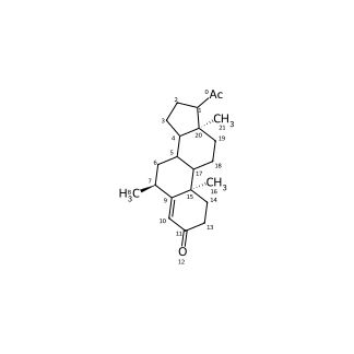 CC(=O)C1CCC2C3C[C@H](C)C4=CC(=O)CC[C@]4(C)C3CC[C@]12C